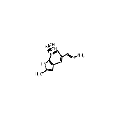 C#N.C#N.Cc1cc2cc(C=NN)cnc2[nH]1